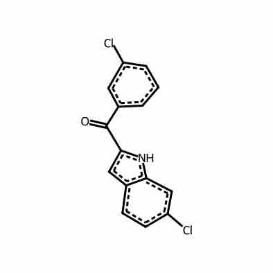 O=C(c1cccc(Cl)c1)c1cc2ccc(Cl)cc2[nH]1